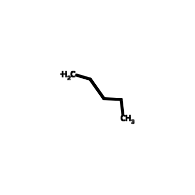 [CH2]CCCC